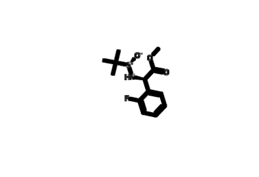 COC(=O)[C@H](N[S@+]([O-])C(C)(C)C)c1ccccc1F